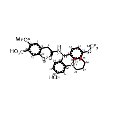 COc1cc(CC(=O)NN(c2ccc(OC(F)(F)F)cc2)c2ccccc2N2CCCCC2)c(Br)cc1C(=O)O.Cl